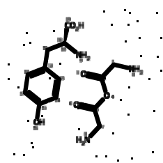 NCC(=O)OC(=O)CN.N[C@@H](Cc1ccc(O)cc1)C(=O)O